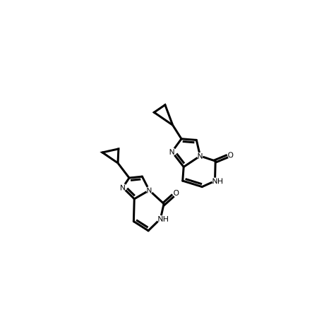 O=c1[nH]ccc2nc(C3CC3)cn12.O=c1[nH]ccc2nc(C3CC3)cn12